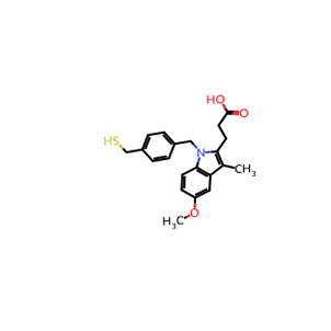 COc1ccc2c(c1)c(C)c(CCC(=O)O)n2Cc1ccc(CS)cc1